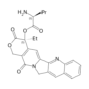 CC[C@@]1(OC(=O)[C@@H](N)C(C)C)C(=O)OCc2c1cc1n(c2=O)Cc2cc3ccccc3nc2-1